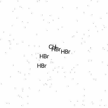 Br.Br.Br.Br.[CH]